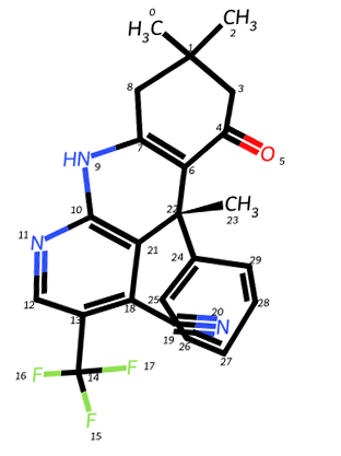 CC1(C)CC(=O)C2=C(C1)Nc1ncc(C(F)(F)F)c(C#N)c1[C@@]2(C)c1ccccc1